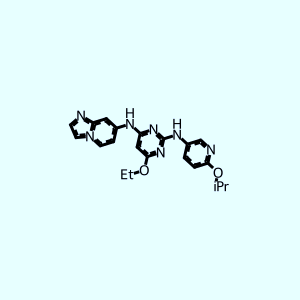 CCOc1cc(Nc2ccn3ccnc3c2)nc(Nc2ccc(OC(C)C)nc2)n1